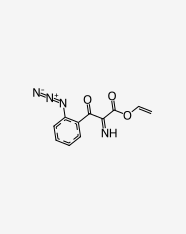 C=COC(=O)C(=N)C(=O)c1ccccc1N=[N+]=[N-]